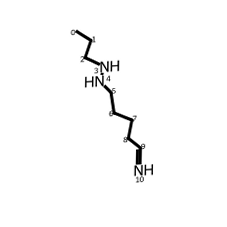 CCCNNCCCCC=N